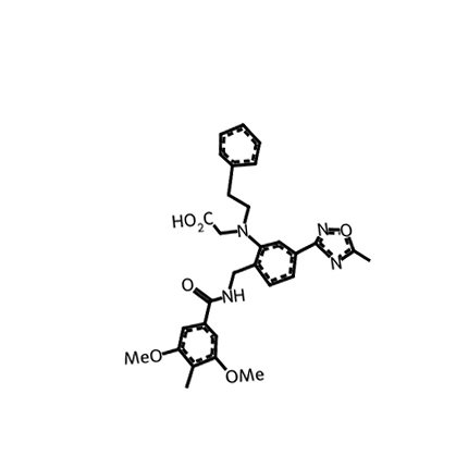 COc1cc(C(=O)NCc2ccc(-c3noc(C)n3)cc2N(CCc2ccccc2)CC(=O)O)cc(OC)c1C